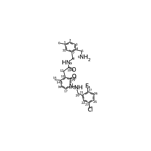 Cc1ccc(CN)c(CNC(=O)Cc2c(C)ccn(NCc3cc(Cl)ccc3F)c2=O)c1